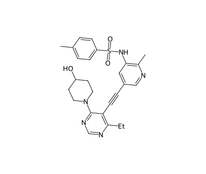 CCc1ncnc(N2CCC(O)CC2)c1C#Cc1cnc(C)c(NS(=O)(=O)c2ccc(C)cc2)c1